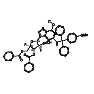 C#C[C@]1(F)[C@H](n2cnc3c(OCC)nc(NC(c4ccccc4)(c4ccccc4)c4ccc(OC)cc4)nc32)O[C@](F)(COC(=O)c2ccccc2)[C@H]1OC(=O)c1ccccc1